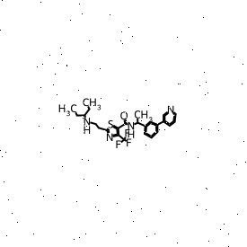 CCC(CC)NCCc1nc(C(F)(F)F)c(C(=O)NC(C)c2cccc(-c3cccnc3)c2)s1